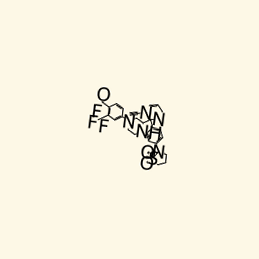 C#CN1C=CC=NC1(c1ccc(N2CCCS2(=O)=O)cc1)C1CN(c2ccc(C=O)c(C(F)(F)F)c2)CCN1